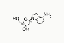 Nc1cccc2c1ccn2[C@H]1C[C@H](O)[C@@H](CO)O1